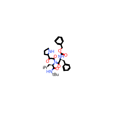 CC(C)C[C@H](C(=O)NC(C)(C)C)N(C(=O)C(=O)C1CCCN1)C(=O)[C@H](Cc1ccccc1)NC(=O)OCc1ccccc1